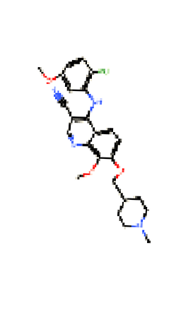 COc1ccc(Cl)c(Nc2c(C#N)cnc3c(OC)c(OCC4CCN(C)CC4)ccc23)c1